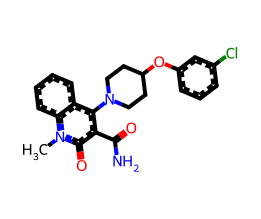 Cn1c(=O)c(C(N)=O)c(N2CCC(Oc3cccc(Cl)c3)CC2)c2ccccc21